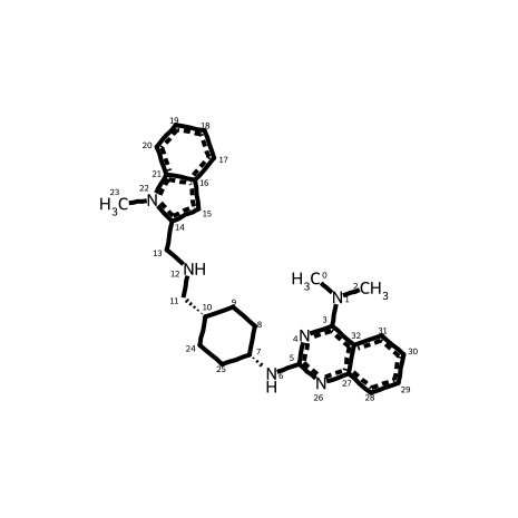 CN(C)c1nc(N[C@H]2CC[C@@H](CNCc3cc4ccccc4n3C)CC2)nc2ccccc12